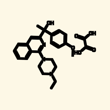 CCN1CCN(c2nc(C(C)(O)c3ccc(OC)cc3)cc3ccccc23)CC1.O=C(O)C(=O)O